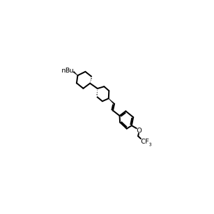 CCCC[C@H]1CC[C@H]([C@H]2CC[C@H](C=Cc3ccc(OCC(F)(F)F)cc3)CC2)CC1